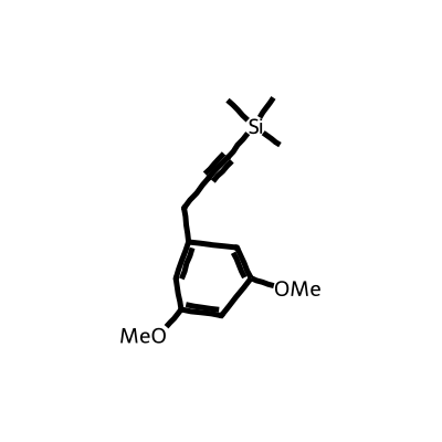 COc1cc(CC#C[Si](C)(C)C)cc(OC)c1